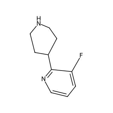 Fc1cccnc1C1CCNCC1